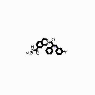 O=C(NO)c1ccc2c(c1)CN(C(=O)/C(=C/c1cccc(F)c1)c1ccccc1)CC2